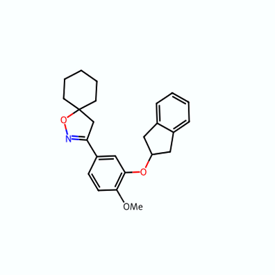 COc1ccc(C2=NOC3(CCCCC3)C2)cc1OC1Cc2ccccc2C1